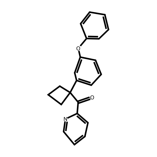 O=C(c1ccccn1)C1(c2cccc(Oc3ccccc3)c2)CCC1